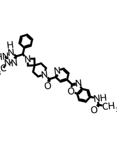 CC(=O)Nc1ccc2oc(-c3ccnc(C(=O)N4CCC5(CC4)CN(C(C4=NN(C)NN4)c4ccccc4)C5)c3)nc2c1